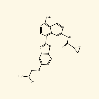 CNc1ncc(-c2nc3cc(OCC(C)O)ccc3o2)c2cc(NC(=O)C3CC3)ncc12